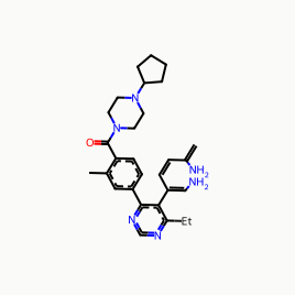 C=C(N)/C=C\C(=C/N)c1c(CC)ncnc1-c1ccc(C(=O)N2CCN(C3CCCC3)CC2)c(C)c1